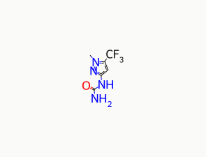 Cn1nc(NC(N)=O)cc1C(F)(F)F